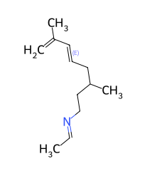 C=C(C)/C=C/CC(C)CCN=CC